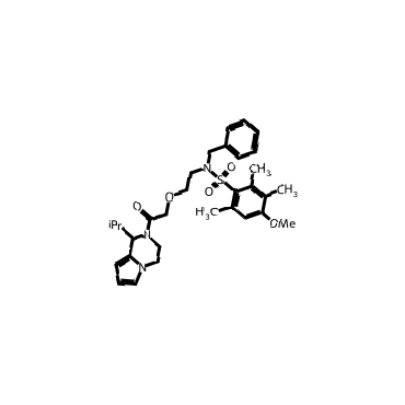 COc1cc(C)c(S(=O)(=O)N(CCOCC(=O)N2CCn3cccc3C2C(C)C)Cc2ccccc2)c(C)c1C